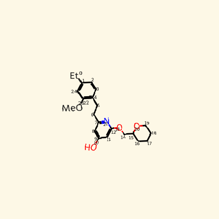 CCc1ccc(CCc2cc(O)cc(OCC3CCCCO3)n2)c(OC)c1